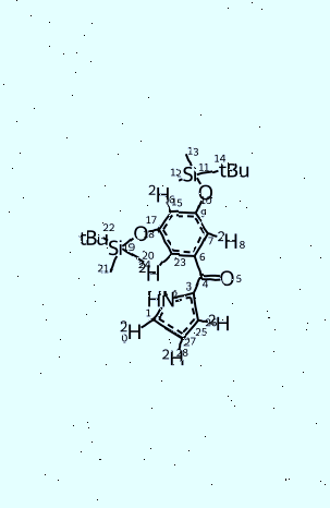 [2H]c1[nH]c(C(=O)c2c([2H])c(O[Si](C)(C)C(C)(C)C)c([2H])c(O[Si](C)(C)C(C)(C)C)c2[2H])c([2H])c1[2H]